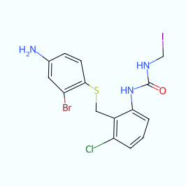 Nc1ccc(SCc2c(Cl)cccc2NC(=O)NCI)c(Br)c1